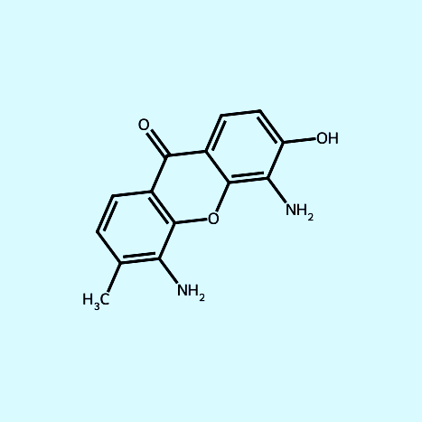 Cc1ccc2c(=O)c3ccc(O)c(N)c3oc2c1N